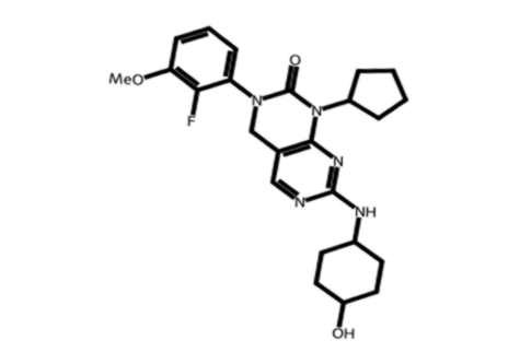 COc1cccc(N2Cc3cnc(NC4CCC(O)CC4)nc3N(C3CCCC3)C2=O)c1F